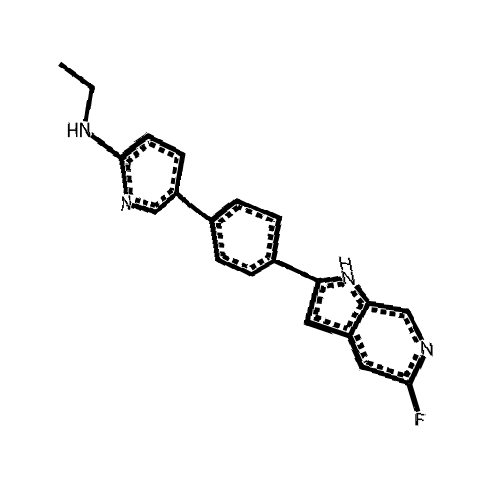 CCNc1ccc(-c2ccc(-c3cc4cc(F)ncc4[nH]3)cc2)cn1